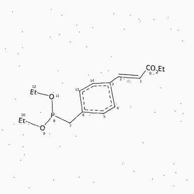 CCOC(=O)/C=C/c1ccc(CP(OCC)OCC)cc1